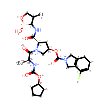 CCC1COB(O)C1NC(=O)[C@@H]1C[C@@H](OC(=O)N2CC3=C(C2)C(F)=CCC3)CN1C(=O)[C@@H](NC(=O)OC1CCCC1)C(C)(C)C